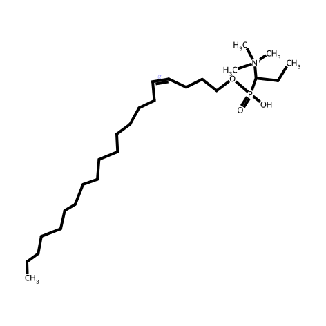 CCCCCCCCCCCCCCC/C=C\CCCOP(=O)(O)C(CC)[N+](C)(C)C